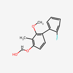 COc1c(-c2ccccc2F)ccc(OBO)c1C